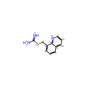 N=C(N)SCc1cccc2cccnc12